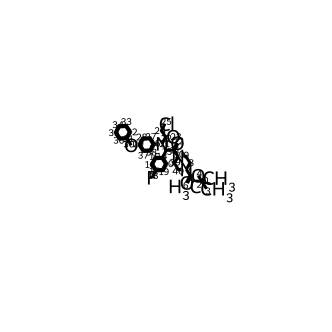 CC(C)(C)OC(=O)N1CCN(C(=O)[C@H](c2ccc(F)cc2)N(C(=O)CCl)c2ccc(Oc3ccccc3)cc2)CC1